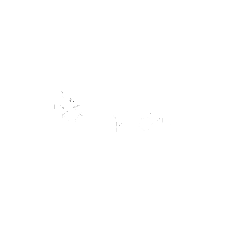 Nc1ccc(CCNC(=O)CCCC[C@@H]2SC[C@@H]3NC(=O)N[C@@H]32)cc1